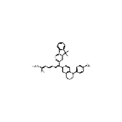 CCC(C)c1ccc(N2CCCc3cc(/C(=C/C=C/C=C(\C#N)C(=O)O)c4ccc5c(c4)C(C)(C)c4ccccc4-5)ccc32)cc1